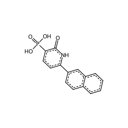 O=c1[nH]c(-c2ccc3ccccc3c2)ccc1P(=O)(O)O